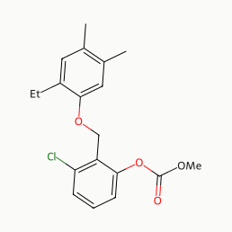 CCc1cc(C)c(C)cc1OCc1c(Cl)cccc1OC(=O)OC